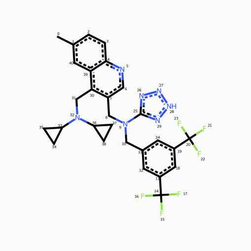 Cc1ccc2ncc(CN(Cc3cc(C(F)(F)F)cc(C(F)(F)F)c3)c3nn[nH]n3)c(CN(C3CC3)C3CC3)c2c1